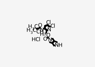 CC(C)(C)C(=O)Nc1cc(Cl)c(Cl)nc1COC(=O)N1CC2=C(CNC2)C1.Cl